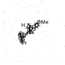 COc1ccc(Sc2nc(N)nc3c2ncn3CCOCP(=O)(OOC(C)C)OOC(C)C)cc1